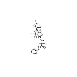 CC(C)(C)OC(=O)N1CC(F)(F)[C@H]2[C@@H]1CCN2C[C@@H](F)C(C)(C)C(=O)OCc1ccccc1